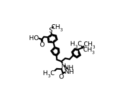 CCC1C(=O)NNN1C(CCc1ccc(C(C)(C)C)cc1)Cc1ccc(-c2ccc(SC)c(CC(=O)O)c2)cc1